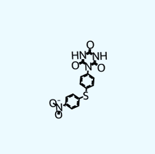 O=c1[nH]c(=O)n(-c2ccc(Sc3ccc([N+](=O)[O-])cc3)cc2)c(=O)[nH]1